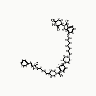 O=C(/C=C/c1cccnc1)NCCCCC1CCN(C(=O)c2ccc(N3CCN(CCCCCCCSc4cccc5c4CN(C4CCC(=O)NC4=O)C5=O)CC3)cc2)CC1